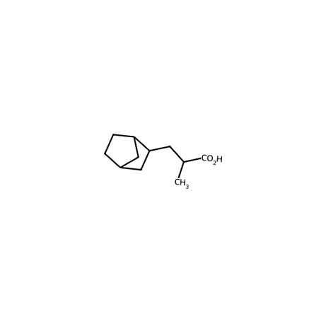 CC(CC1CC2CCC1C2)C(=O)O